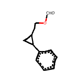 O=COCC1CC1c1ccccc1